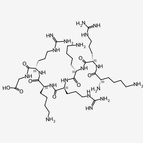 N=C(N)NCCC[C@H](NC(=O)[C@H](CCCCN)NC(=O)[C@H](CCCNC(=N)N)NC(=O)[C@H](CCCCN)NC(=O)[C@H](CCCNC(=N)N)NC(=O)[C@@H](N)CCCCN)C(=O)NCC(=O)O